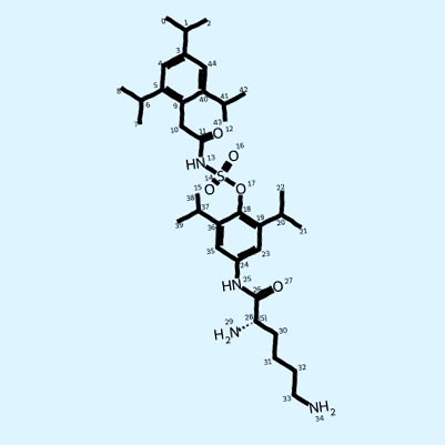 CC(C)c1cc(C(C)C)c(CC(=O)NS(=O)(=O)Oc2c(C(C)C)cc(NC(=O)[C@@H](N)CCCCN)cc2C(C)C)c(C(C)C)c1